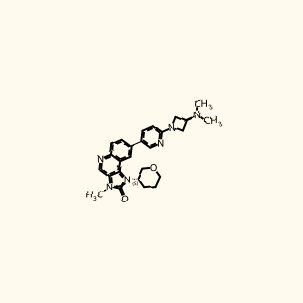 CN(C)C1CN(c2ccc(-c3ccc4ncc5c(c4c3)n([C@H]3CCCOC3)c(=O)n5C)cn2)C1